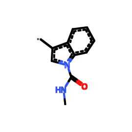 [CH2]c1cn(C(=O)NC)c2ccccc12